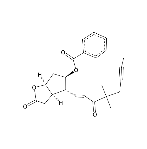 CC#CCC(C)(C)C(=O)/C=C/[C@@H]1[C@H]2CC(=O)O[C@H]2C[C@H]1OC(=O)c1ccccc1